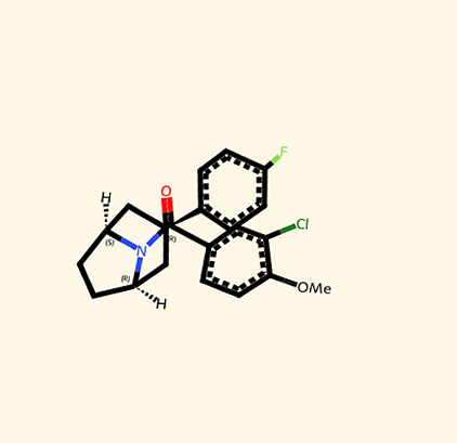 COc1ccc(C(=O)N2[C@@H]3CC[C@H]2C[C@@H](c2ccc(F)cc2)C3)cc1Cl